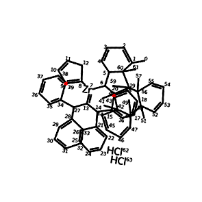 CC1=CC=CC2[CH]([Zr]([C]3=CC=CC3)=[C](C(c3ccccc3)c3ccccc3)C(c3ccccc3)c3ccccc3)C3(C)C4(C)C=CC=CC4(C)C4(C)C=CC=CC4(C)C3(C)C12C.Cl.Cl